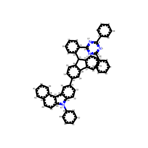 c1ccc(-c2nc(-c3ccccc3)nc(-c3ccccc3C3c4ccccc4-c4cc(-c5ccc6c(c5)c5c7ccccc7ccc5n6-c5ccccc5)ccc43)n2)cc1